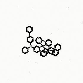 c1ccc(-c2ccc(N(c3ccccc3)c3ccc4c(c3)C3(c5ccccc5-c5cccc(N(c6ccccc6)c6cccc7ccccc67)c53)c3c-4sc4ccccc34)cc2)cc1